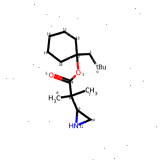 CC(C)(C)CC1(OC(=O)C(C)(C)C2CN2)CCCCC1